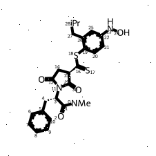 CNC(=O)[C@H](Cc1ccccc1)N1C(=O)C[C@@H](C(=S)Sc2ccc(NO)cc2CC(C)C)C1=O